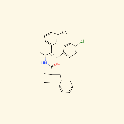 CC(NC(=O)C1(Cc2ccccc2)CCC1)[C@@H](Cc1ccc(Cl)cc1)c1cccc(C#N)c1